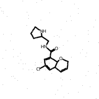 O=C(NCC1CCCN1)C1=CC(Cl)=CC2C=CCOC12